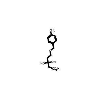 Cc1ccc(CSCCC(O)(O)CC(=O)O)cc1